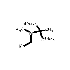 CCCCCCC(C)(CCCCC)N(C)CC(C)C